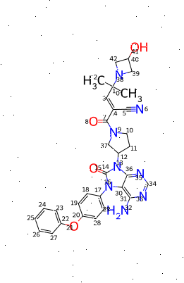 CC(C)(C=C(C#N)C(=O)N1CCC(n2c(=O)n(-c3ccc(Oc4ccccc4)cc3)c3c(N)ncnc32)C1)N1CC(O)C1